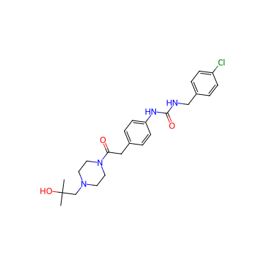 CC(C)(O)CN1CCN(C(=O)Cc2ccc(NC(=O)NCc3ccc(Cl)cc3)cc2)CC1